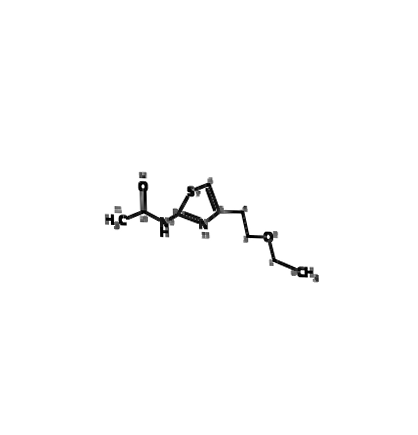 CCOCCc1csc(NC(C)=O)n1